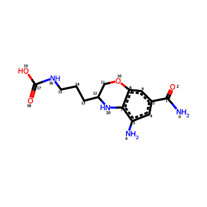 NC(=O)c1cc(N)c2c(c1)OCC(CCCNC(=O)O)N2